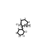 C[C@@H]1CCCNC1C1CCCCC1